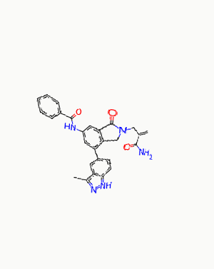 C=C(CN1Cc2c(cc(NC(=O)c3ccccc3)cc2-c2ccc3[nH]nc(C)c3c2)C1=O)C(N)=O